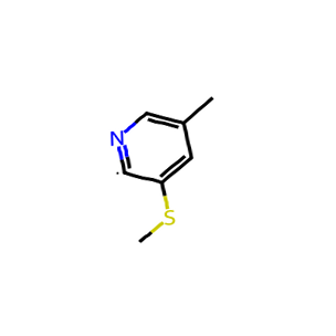 CSc1[c]ncc(C)c1